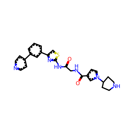 O=C(CNC(=O)c1ccn(C2CCNCC2)c1)Nc1nc(-c2cccc(-c3ccncc3)c2)cs1